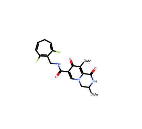 COc1c2n(cc(C(=O)NCC3=C(F)C=CCC=C3F)c1=O)CC(OC)NC2=O